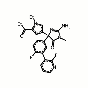 CCC(=O)c1cc([C@@]2(c3ccc(F)c(-c4cccnc4F)c3)N=C(N)N(C)C2=O)cn1CC